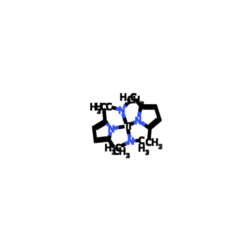 Cc1ccc(C)[n]1[Ti]([N](C)C)([N](C)C)[n]1c(C)ccc1C